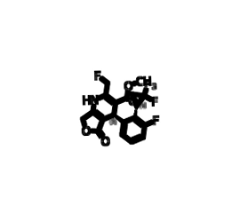 COC(=O)C1=C(CF)NC2=C(C(=O)OC2)[C@@H]1c1cccc(F)c1[C@@H]1CC1(F)F